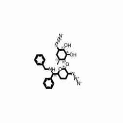 C[C@H]1CC(N=[N+]=[N-])[C@H](O)[C@@H](O)[C@@H]1O[C@H]1OC([C@H](NCc2ccccc2)c2ccccc2)CCC1N=[N+]=[N-]